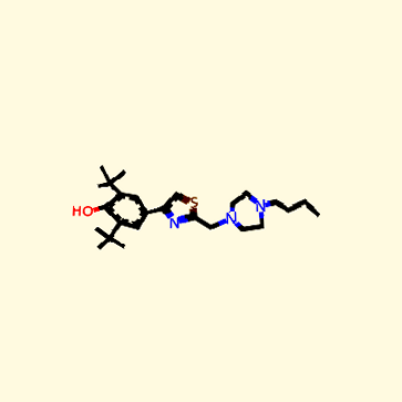 CCCCN1CCN(Cc2nc(-c3cc(C(C)(C)C)c(O)c(C(C)(C)C)c3)cs2)CC1